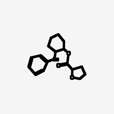 O=C(OC1CCCCC1[Se]c1ccccc1)C1CCCO1